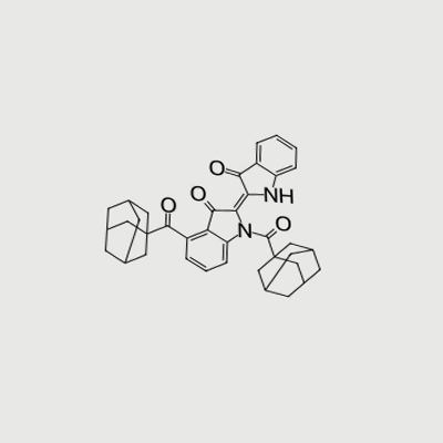 O=C1C(=C2C(=O)c3c(C(=O)C45CC6CC(CC(C6)C4)C5)cccc3N2C(=O)C23CC4CC(CC(C4)C2)C3)Nc2ccccc21